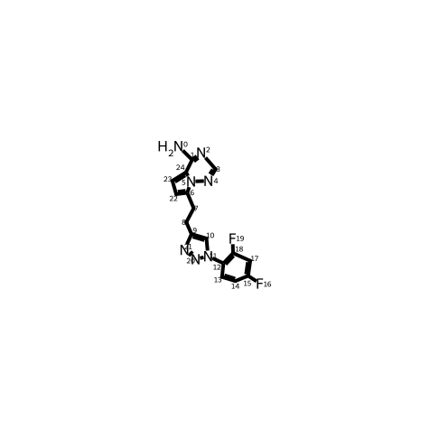 Nc1ncnn2c(CCc3cn(-c4ccc(F)cc4F)nn3)ccc12